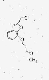 COCCCOc1cccc2cc(CCl)oc12